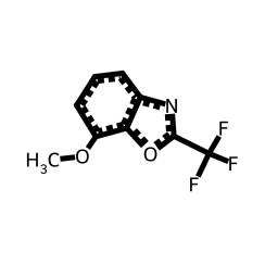 COc1cccc2nc(C(F)(F)F)oc12